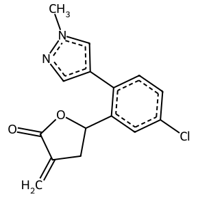 C=C1CC(c2cc(Cl)ccc2-c2cnn(C)c2)OC1=O